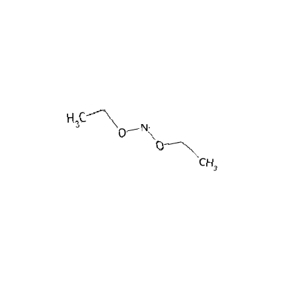 CCO[N]OCC